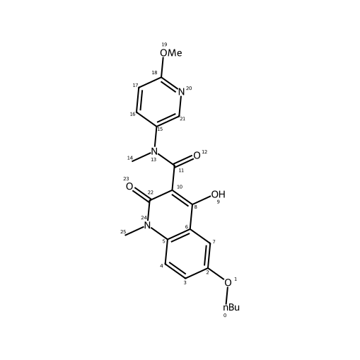 CCCCOc1ccc2c(c1)c(O)c(C(=O)N(C)c1ccc(OC)nc1)c(=O)n2C